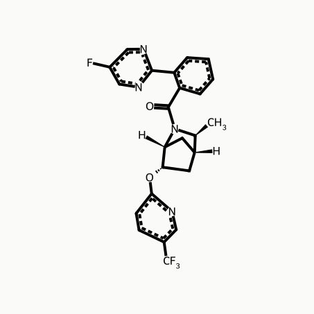 C[C@H]1[C@@H]2C[C@H](Oc3ccc(C(F)(F)F)cn3)[C@@H](C2)N1C(=O)c1ccccc1-c1ncc(F)cn1